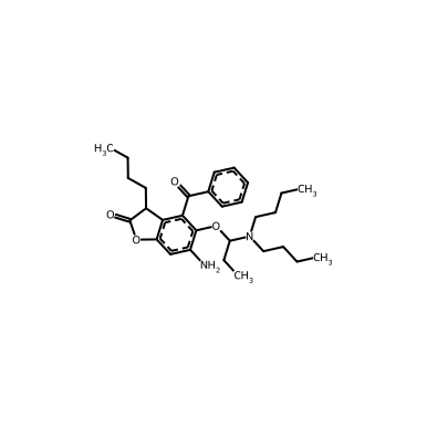 CCCCC1C(=O)Oc2cc(N)c(OC(CC)N(CCCC)CCCC)c(C(=O)c3ccccc3)c21